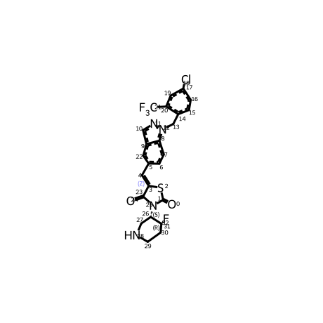 O=C1S/C(=C\c2ccc3c(cnn3Cc3ccc(Cl)cc3C(F)(F)F)c2)C(=O)N1[C@H]1CNCC[C@H]1F